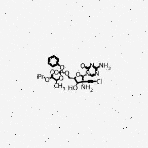 CC(C)OC(=O)[C@H](C)OP(=O)(OC[C@H]1O[C@@H](n2cnc(N)nc2=O)[C@@](N)(C#CCl)[C@H]1O)Oc1ccccc1